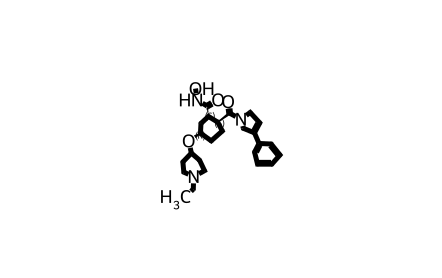 CCN1CCC(O[C@@H]2CC[C@H](C(=O)N3CC=C(c4ccccc4)C3)[C@@H](C(=O)NO)C2)CC1